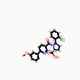 COc1cccc(-c2ccc(C(=O)N3C(c4ccccc4Cl)CC[C@H]3C(=O)O)cn2)c1